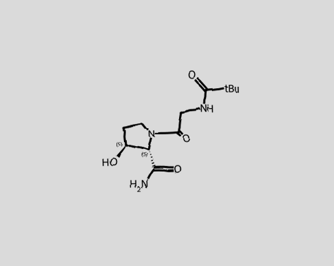 CC(C)(C)C(=O)NCC(=O)N1CC[C@H](O)[C@H]1C(N)=O